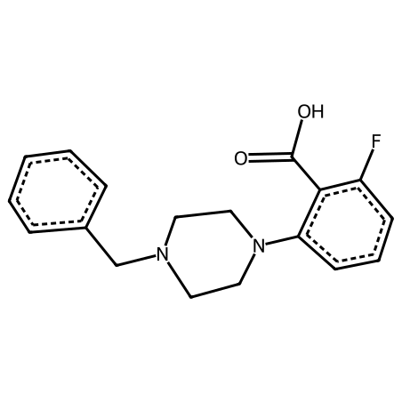 O=C(O)c1c(F)cccc1N1CCN(Cc2ccccc2)CC1